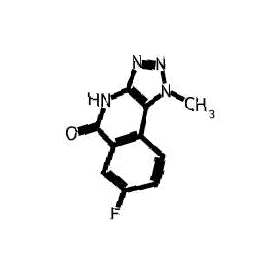 Cn1nnc2[nH]c(=O)c3cc(F)ccc3c21